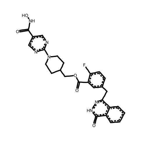 O=C(NO)c1cnc(N2CCC(COC(=O)c3cc(Cc4n[nH]c(=O)c5ccccc45)ccc3F)CC2)nc1